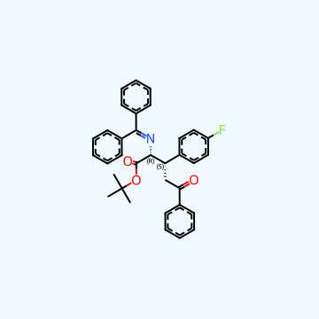 CC(C)(C)OC(=O)[C@H](N=C(c1ccccc1)c1ccccc1)[C@@H](CC(=O)c1ccccc1)c1ccc(F)cc1